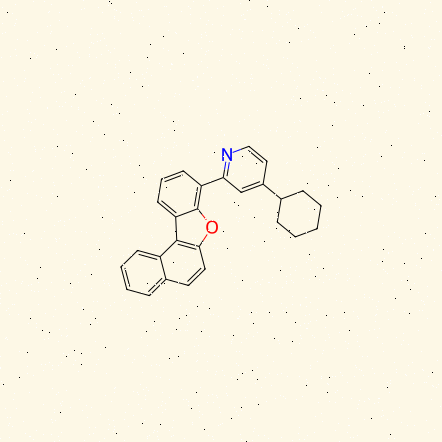 c1ccc2c(c1)ccc1oc3c(-c4cc(C5CCCCC5)ccn4)cccc3c12